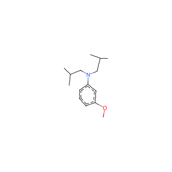 COc1cccc(N(CC(C)C)CC(C)C)c1